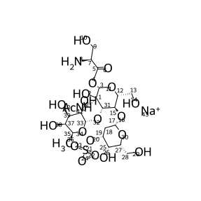 CC(=O)N[C@]1(O)[C@H](OC(=O)[C@@H](N)CO)O[C@H](CO)[C@@H](O[C@H]2C[C@@H](OS(=O)(=O)[O-])[C@@H](O)[C@@H](CO)O2)[C@@H]1O[C@@H]1O[C@@H](C)[C@@H](O)[C@@H](O)[C@@H]1O.[Na+]